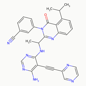 CC(C)c1cccc2nc(C(C)Nc3ncnc(N)c3C#Cc3cnccn3)n(-c3cccc(C#N)c3)c(=O)c12